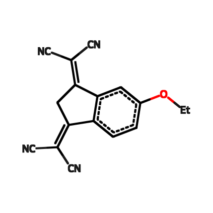 CCOc1ccc2c(c1)C(=C(C#N)C#N)CC2=C(C#N)C#N